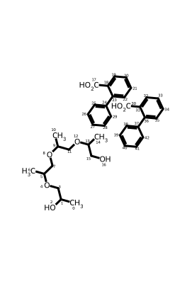 CC(O)COC(C)COC(C)COC(C)CO.O=C(O)c1ccccc1-c1ccccc1.O=C(O)c1ccccc1-c1ccccc1